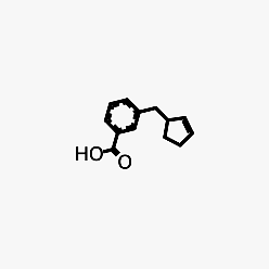 O=C(O)c1cccc(CC2C=CCC2)c1